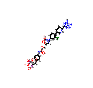 CN1N=C(c2ccc(-c3ccc(N4C[C@H](COC(=O)Nc5ccc(CC(P=O)P(=O)(O)O)cc5)OC4=O)cc3F)cn2)NN1